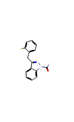 NC(=O)n1nc(Cc2ccccc2F)c2cc[c]cc21